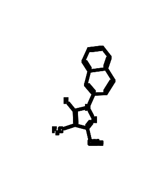 COc1nn(-c2ccc3ccccc3c2)c(F)c1C(F)(F)F